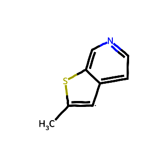 Cc1[c]c2ccncc2s1